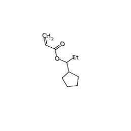 C=CC(=O)OC(CC)C1CCCC1